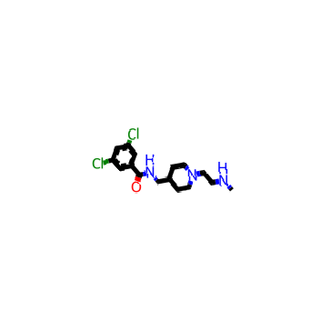 CNCCN1CCC(CNC(=O)c2cc(Cl)cc(Cl)c2)CC1